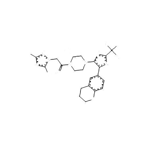 Cc1nc(C)n(CC(=O)N2CCN(c3sc(C(F)(F)F)nc3-c3ccc4c(c3)CCCO4)C[C@H]2C)n1